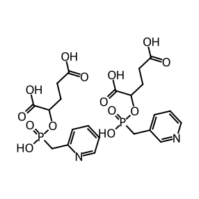 O=C(O)CCC(OP(=O)(O)Cc1ccccn1)C(=O)O.O=C(O)CCC(OP(=O)(O)Cc1cccnc1)C(=O)O